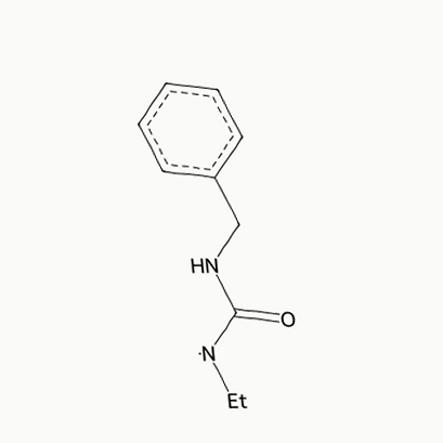 CC[N]C(=O)NCc1ccccc1